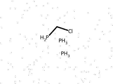 P.P.PCCl